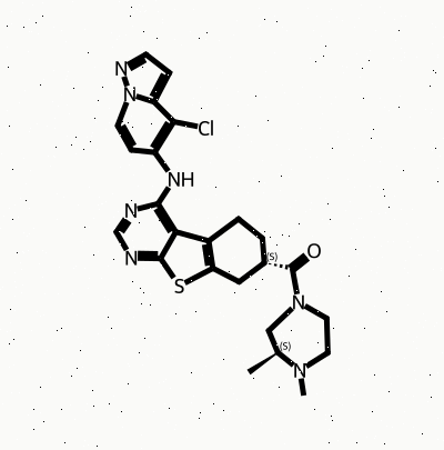 C[C@H]1CN(C(=O)[C@H]2CCc3c(sc4ncnc(Nc5ccn6nccc6c5Cl)c34)C2)CCN1C